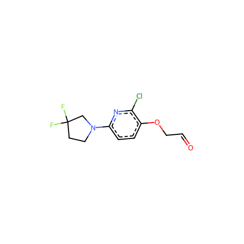 O=CCOc1ccc(N2CCC(F)(F)C2)nc1Cl